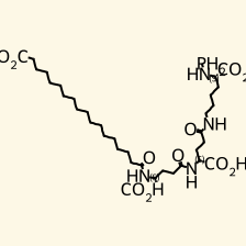 O=C(O)CCCCCCCCCCCCCCCCC(=O)N[C@@H](CCC(=O)N[C@@H](CCC(=O)NCCCC[C@H](NP)C(=O)O)C(=O)O)C(=O)O